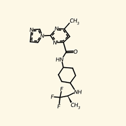 Cc1cc(C(=O)NC2CCC(N[C@@H](C)C(F)(F)F)CC2)nc(-n2ccnc2)n1